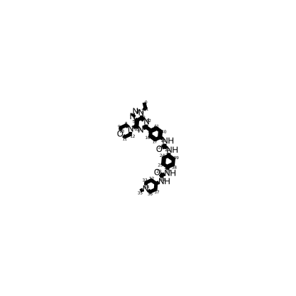 CCn1nnc2c(N3CCOCC3)nc(-c3ccc(NC(=O)Nc4ccc(NC(=O)NC5CCN(C)CC5)cc4)cc3)nc21